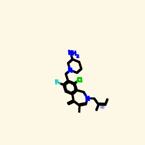 C=C1C(C)=CN(C/C(C)=C\C)Cc2c1cc(F)c(CN1CCCC(N)C1)c2Cl